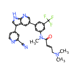 CN(C)C/C=C/C(=O)N(C)c1cc(-c2cnc3[nH]cc(-c4ccnc(C#N)c4)c3c2)cc(C(F)(F)F)c1